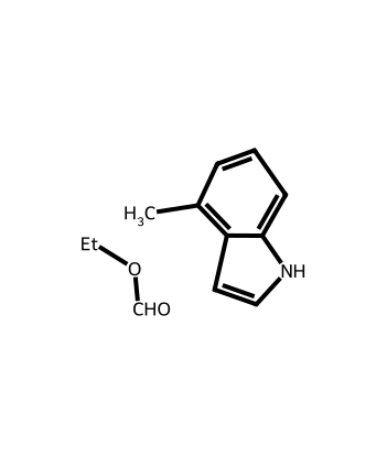 CCOC=O.Cc1cccc2[nH]ccc12